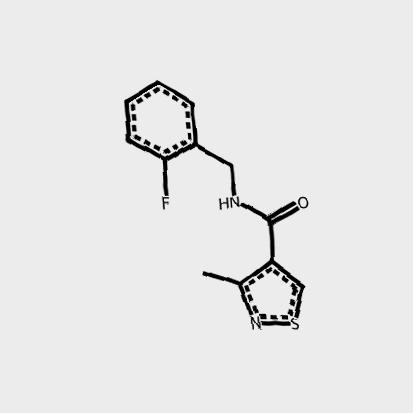 Cc1nscc1C(=O)NCc1ccccc1F